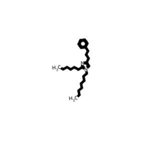 CCCCCCCCn1cc(CCCc2ccccc2)nc1CCCCCC